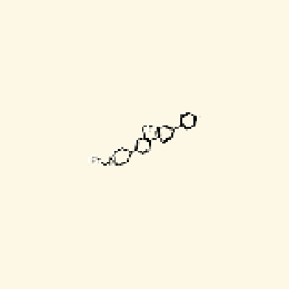 CC(C)CN1CCC(c2ccc(-c3ccc(-c4cc[c]cc4)cc3)c(C(F)(F)F)c2)CC1